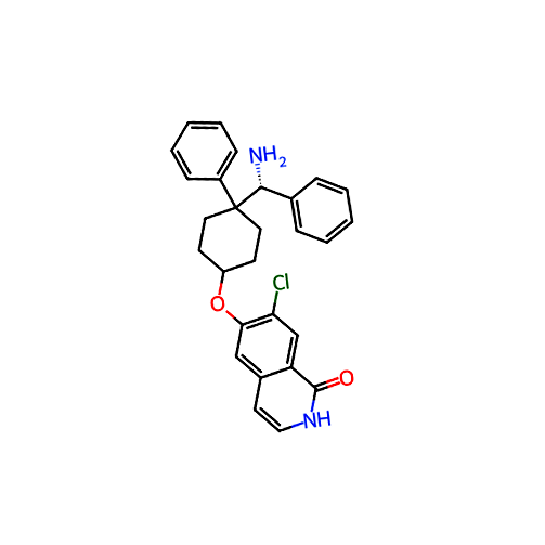 N[C@H](c1ccccc1)C1(c2ccccc2)CCC(Oc2cc3cc[nH]c(=O)c3cc2Cl)CC1